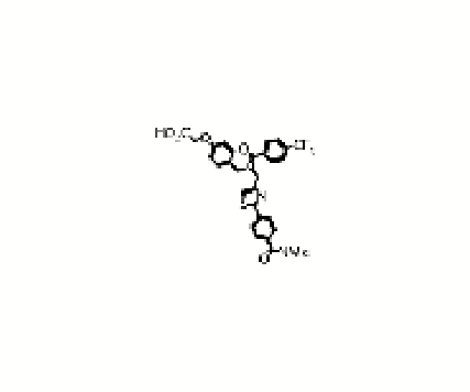 CNC(=O)c1ccc(-c2nc(CN(Cc3ccc(OCC(=O)O)cc3)C(=O)c3ccc(C(F)(F)F)cc3)cs2)cc1